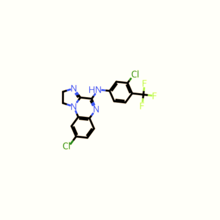 FC(F)(F)c1ccc(NC2=Nc3ccc(Cl)cc3N3CCN=C23)cc1Cl